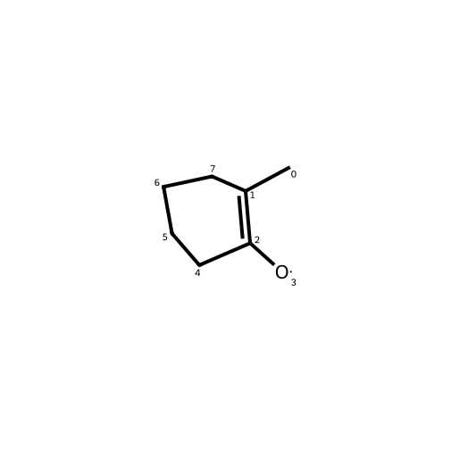 CC1=C([O])CCCC1